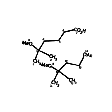 COC(C)(C)CCCC(=O)O.COC(C)(C)CCOC(C)=O